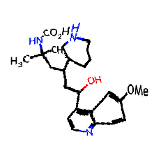 COc1ccc2nccc(C(O)CC(CC(C)(C)NC(=O)O)C3CCCNC3)c2c1